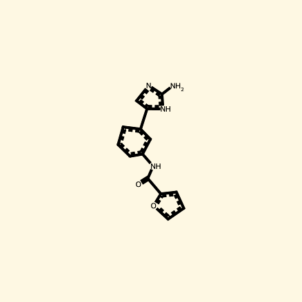 Nc1ncc(-c2cccc(NC(=O)c3ccco3)c2)[nH]1